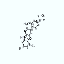 CCn1cc(Br)cc(Nc2ccc(N3CCN(C4COC4)C[C@@H]3C)cn2)c1=O